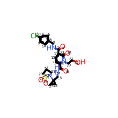 O=C(NCc1ccc(Cl)cc1)c1ccc(C(=O)NCC2(N3CCCS3(=O)=O)CC2)n(CCO)c1=O